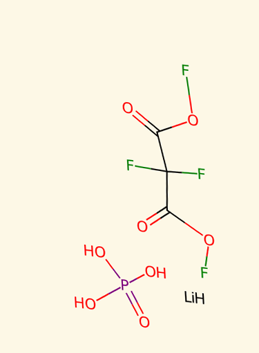 O=C(OF)C(F)(F)C(=O)OF.O=P(O)(O)O.[LiH]